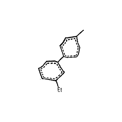 CCc1[c]ccc(-c2ccc(C)cc2)c1